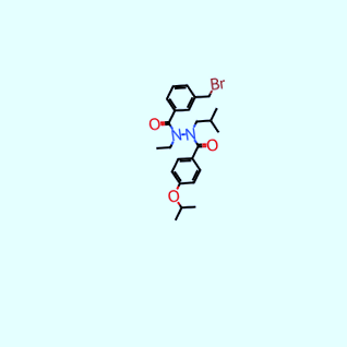 CCN(C(=O)c1cccc(CBr)c1)N(CC(C)C)C(=O)c1ccc(OC(C)C)cc1